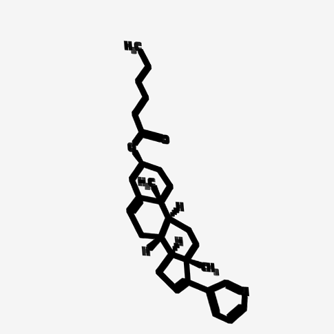 CCCCCC(=O)O[C@H]1CC[C@@]2(C)C(=CC[C@@H]3[C@@H]2CC[C@]2(C)C(c4cccnc4)=CC[C@@H]32)C1